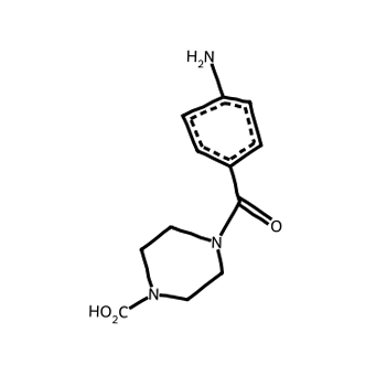 Nc1ccc(C(=O)N2CCN(C(=O)O)CC2)cc1